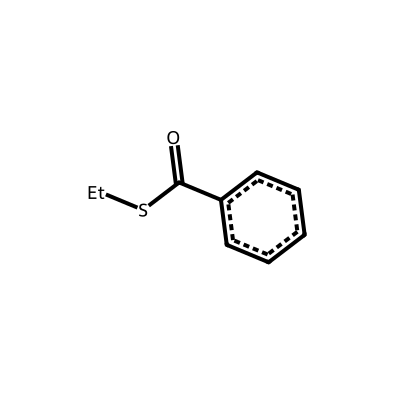 [CH]CSC(=O)c1ccccc1